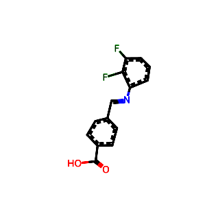 O=C(O)c1ccc(/C=N/c2cccc(F)c2F)cc1